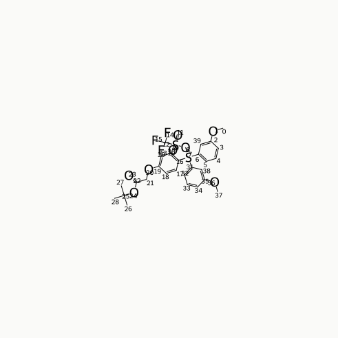 COc1cccc(S(OS(=O)(=O)C(F)(F)F)(c2ccc(OCC(=O)OC(C)(C)C)cc2)c2cccc(OC)c2)c1